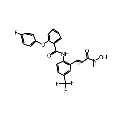 O=C(/C=C/c1cc(C(F)(F)F)ccc1NC(=O)c1ccccc1Oc1ccc(F)cc1)NO